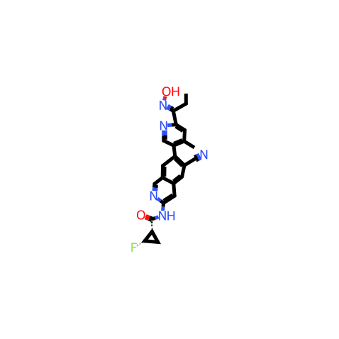 CCC(=NO)c1cc(C)c(-c2cc3cnc(NC(=O)[C@@H]4C[C@@H]4F)cc3cc2C#N)cn1